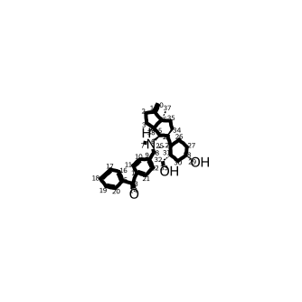 C=C1CC[C@@H]2[C@H](N(C)Cc3ccc(C(=O)c4ccccc4)cc3)[C@H]([C@@]3(C)CC[C@H](O)C[C@@H]3CO)CC[C@]12C